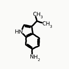 CC(C)c1c[nH]c2cc(N)ccc12